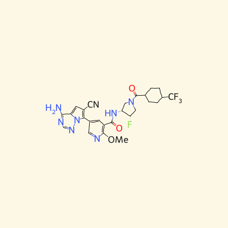 COc1ncc(-c2c(C#N)cc3c(N)ncnn23)cc1C(=O)N[C@@H]1CN(C(=O)C2CCC(C(F)(F)F)CC2)C[C@@H]1F